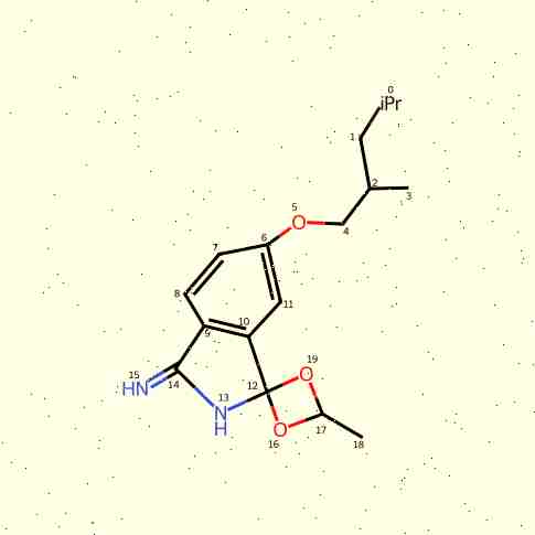 CC(C)CC(C)COc1ccc2c(c1)C1(NC2=N)OC(C)O1